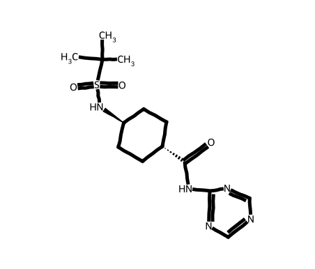 CC(C)(C)S(=O)(=O)N[C@H]1CC[C@H](C(=O)Nc2ncncn2)CC1